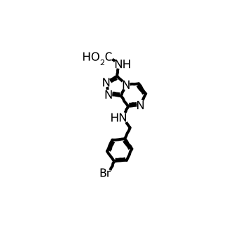 O=C(O)Nc1nnc2c(NCc3ccc(Br)cc3)nccn12